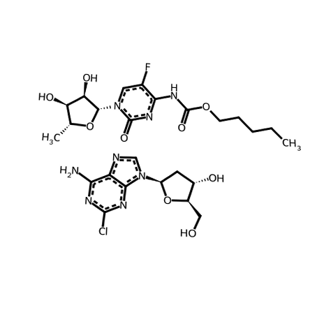 CCCCCOC(=O)Nc1nc(=O)n([C@@H]2O[C@H](C)[C@@H](O)[C@H]2O)cc1F.Nc1nc(Cl)nc2c1ncn2[C@H]1C[C@H](O)[C@@H](CO)O1